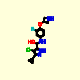 OC(Nc1ccc(OC2CNC2)c(F)c1)c1[nH]nc(C2CC2)c1Cl